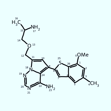 COc1cc(C)cc2cc(-c3cc(COCC(C)N)n4ncnc(N)c34)sc12